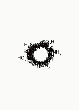 Cc1cccc(C[C@@H]2NC(=O)[C@H](CC(=O)O)NC(=O)[C@H](Cc3ccc(C(=O)O)cc3)NC(=O)[C@H](CN3CCOCC3)NC(=O)CSCC(C3=NC(=O)C(CCN)N3)NC(=O)CNC(=O)C(C(C)C)NC(=O)[C@H](CC3CCCCC3)NC(=O)[C@H](CCN)NC(=O)[C@@H](CC(C)C)NC(=O)[C@H](C)N(C)C(=O)[C@H](Cc3ccc(C(=O)O)cc3)NC(=O)[C@H](Cc3ccc(-c4ccccc4)cc3)NC(=O)[C@H](Cc3ccc(C(=O)O)cc3)NC2=O)c1